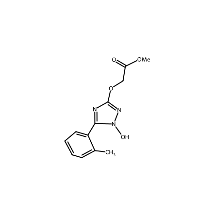 COC(=O)COc1nc(-c2ccccc2C)n(O)n1